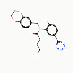 CCCCC(=O)N(Cc1ccc2c(c1)OCCO2)c1cc(-c2nnn[nH]2)ccc1F